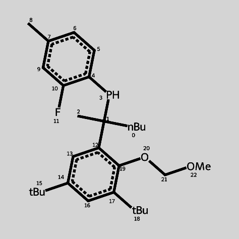 CCCCC(C)(Pc1ccc(C)cc1F)c1cc(C(C)(C)C)cc(C(C)(C)C)c1OCOC